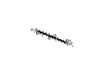 CN(C)CCCCCCOC(=O)C=CC(=O)OCCCCCCN(C)C